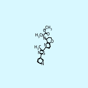 COC(=O)N(C)/N=C1\CCOc2ccc(-c3sc(-c4cccnc4)nc3C)nc21